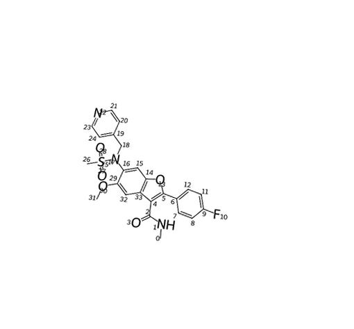 CNC(=O)c1c(-c2ccc(F)cc2)oc2cc(N(Cc3ccncc3)S(C)(=O)=O)c(OC)cc12